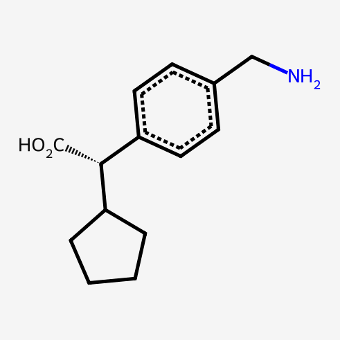 NCc1ccc([C@@H](C(=O)O)C2CCCC2)cc1